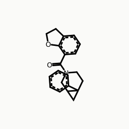 O=C(c1cccc2c1OCC2)N1CCC2(c3ccccc3)CC2C1